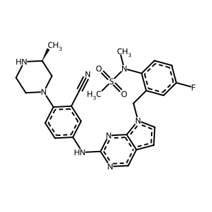 C[C@H]1CN(c2ccc(Nc3ncc4ccn(Cc5cc(F)ccc5N(C)S(C)(=O)=O)c4n3)cc2C#N)CCN1